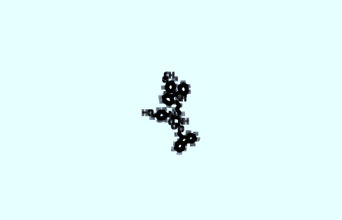 COc1ccc(C(NCCCC[C@H](NC(=O)OCC2c3ccccc3-c3ccccc32)C(=O)Nc2ccc(CO)cc2)(c2ccccc2)c2ccccc2)cc1